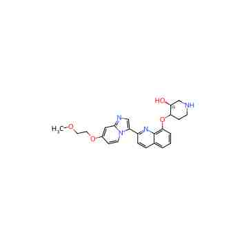 COCCOc1ccn2c(-c3ccc4cccc(OC5CCNC[C@@H]5O)c4n3)cnc2c1